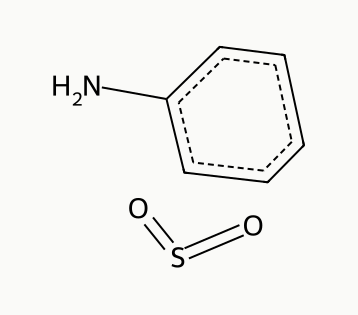 Nc1ccccc1.O=S=O